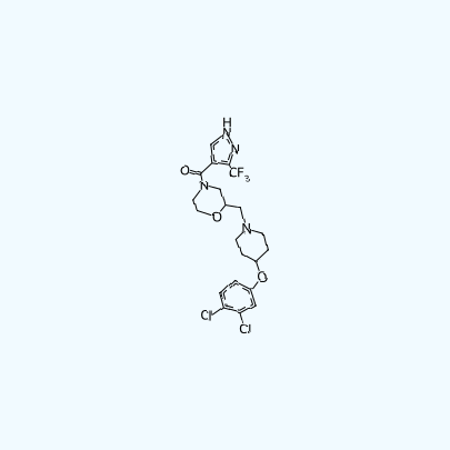 O=C(c1c[nH]nc1C(F)(F)F)N1CCOC(CN2CCC(Oc3ccc(Cl)c(Cl)c3)CC2)C1